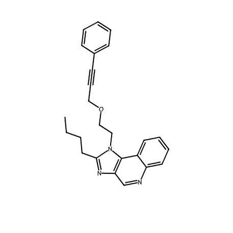 CCCCc1nc2cnc3ccccc3c2n1CCOCC#Cc1ccccc1